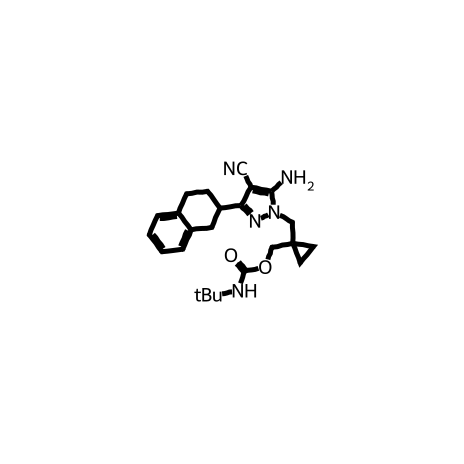 CC(C)(C)NC(=O)OCC1(Cn2nc(C3CCc4ccccc4C3)c(C#N)c2N)CC1